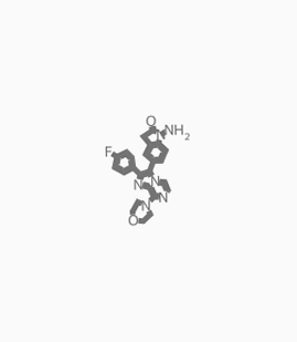 NN1C(=O)Cc2cc(-c3c(-c4ccc(F)cc4)nc4c(N5CCOCC5)nccn34)ccc21